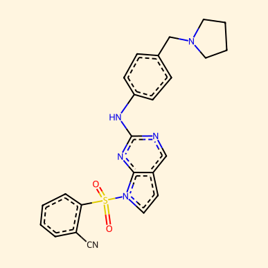 N#Cc1ccccc1S(=O)(=O)n1ccc2cnc(Nc3ccc(CN4CCCC4)cc3)nc21